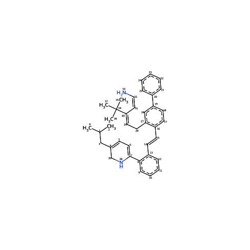 CC(C)CC1=CC=C(c2ccccc2/C=C/c2ccc(-c3ccccc3)cc2C/C=C(\C=C/N)C(C)(C)C)NC1